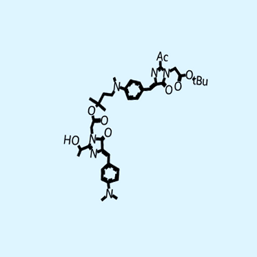 CC(=O)C1=N/C(=C\c2ccc(N(C)CCC(C)(C)OC(=O)CN3C(=O)/C(=C/c4ccc(N(C)C)cc4)N=C3C(C)O)cc2)C(=O)N1CC(=O)OC(C)(C)C